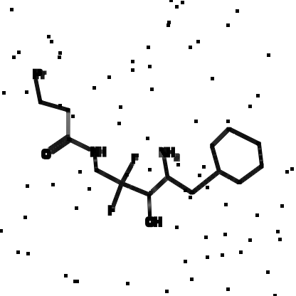 CC(C)CCC(=O)NCC(F)(F)C(O)C(N)CC1CCCCC1